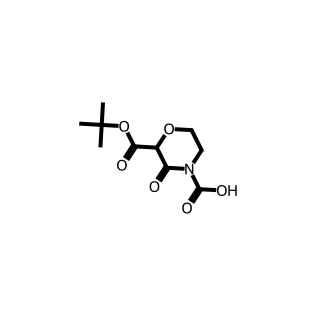 CC(C)(C)OC(=O)C1OCCN(C(=O)O)C1=O